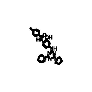 Cc1ccc(C(=O)Nc2ccc(Nc3nc(N4CCCCC4)nc(N4CCCC4)n3)cc2O)cc1